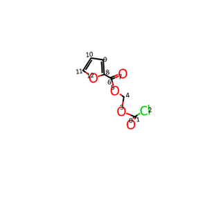 O=C(Cl)OCOC(=O)c1ccco1